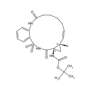 CC(C)(C)OC(=O)N[C@]12C[C@H]1C=CCCCCC(=O)Nc1ccccc1S(=O)(=O)NC2=O